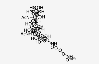 CCCC(=O)NCCOCCOCCOCC(=O)NCCCO[C@@H]1OC(CO)[C@@H](O[C@@H]2OC(CO)[C@H](O)C(O[C@@H]3OC(CO)[C@@H](O[C@@H]4OC(CO)[C@H](O)C(O[C@@H]5OC(CO)[C@@H](O[C@@H]6OC(CO)[C@H](O)C(O)C6O)C(O)C5NC(C)=O)C4O)C(O)C3NC(C)=O)C2O)[C@H](O)C1O